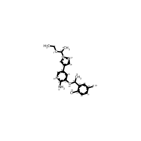 CCOC(C)n1cc(-c2cnc(N)c(OC(C)c3cc(F)ccc3Cl)c2)cn1